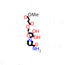 COC(=O)CCC(=O)OCC[C@H]1O[C@@H](N2C=CCC(C(N)=O)=C2)[C@H](O)[C@@H]1O